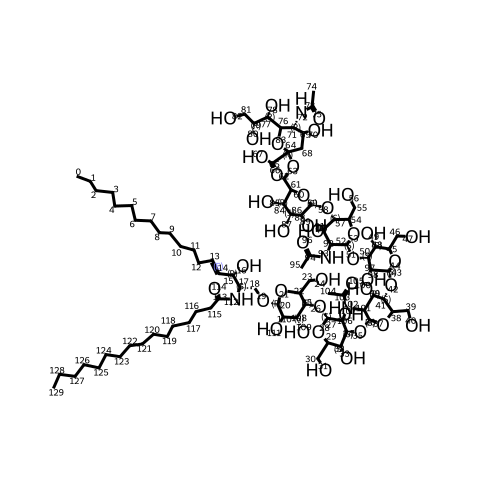 CCCCCCCCCCCCC/C=C/[C@@H](O)[C@H](CO[C@@H]1OC(CO)[C@@H](O[C@@H]2OC(CO)[C@H](O)[C@H](O[C@@H]3OC(CO)[C@@H](O[C@@H]4OC(CO)[C@H](O)[C@H](O[C@@H]5OC(CO)[C@@H](O[C@@H]6OC(CO[C@]7(C(=O)O)CC(O)[C@@H](NC(C)=O)C([C@H](O)[C@H](O)CO)O7)[C@H](O)[C@H](O)C6O)[C@H](O)C5NC(C)=O)C4O)[C@H](O)C3NC(C)=O)C2O)[C@H](O)C1O)NC(=O)CCCCCCCCCCCCCCC